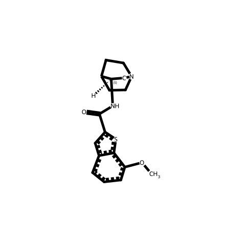 COc1cccc2cc(C(=O)N[C@@H]3CN4CCC3CC4)sc12